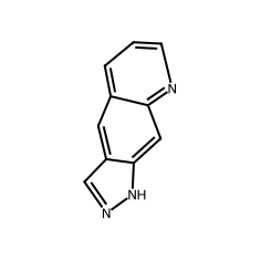 c1cnc2cc3[nH]ncc3cc2c1